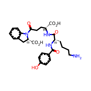 NCCCC[C@H](NC(=O)c1ccc(O)cc1)C(=O)N[C@H](CCC(=O)N1c2ccccc2C[C@H]1C(=O)O)C(=O)O